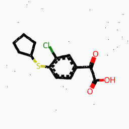 O=C(O)C(=O)c1ccc(SC2CCCC2)c(Cl)c1